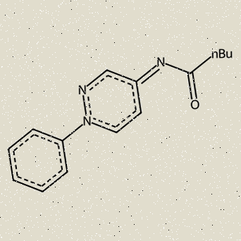 CCCCC(=O)N=c1ccn(-c2ccccc2)nc1